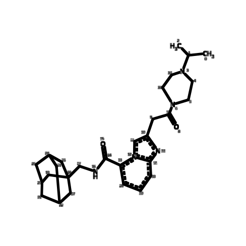 CC(C)N1CCN(C(=O)Cc2cn3c(C(=O)NCC45CC6CC(CC(C6)C4)C5)cccc3n2)CC1